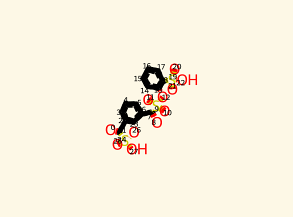 O=C(c1cccc(C(=O)S(=O)(=O)Oc2ccccc2S(=O)(=O)O)c1)S(=O)(=O)O